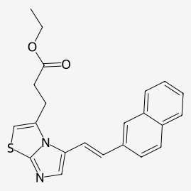 CCOC(=O)CCc1csc2ncc(C=Cc3ccc4ccccc4c3)n12